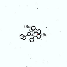 CC1C=C(C2C3CC4CC(C3)CC2C4)C=[C]1[Zr](=[C](c1ccccc1)c1ccccc1)[CH]1c2cc(C(C)(C)C)ccc2-c2ccc(C(C)(C)C)cc21